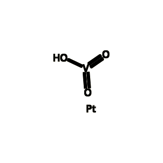 [O]=[V](=[O])[OH].[Pt]